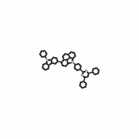 c1ccc(-c2cc(-c3ccccc3)nc(-c3ccc(-n4c5cccc6ccc7c(-c8ccc9c(c8)c8ccccc8n9-c8ccccc8)ccc4c7c65)cc3)n2)cc1